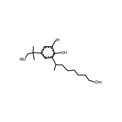 CCCCCCCCCCCCCCCCC(C)c1cc(C(C)(C)CC(C)(C)C)cc(C(C)C)c1O